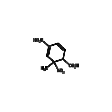 CC1([N+](=O)[O-])C=C(C(=O)O)C=CC1C(=O)O